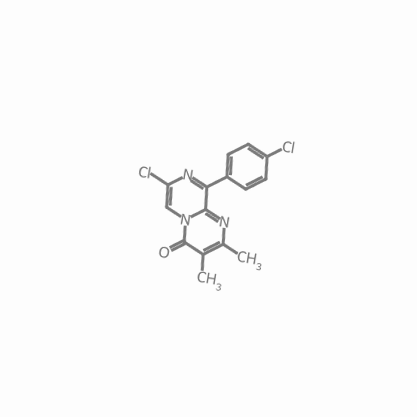 Cc1nc2c(-c3ccc(Cl)cc3)nc(Cl)cn2c(=O)c1C